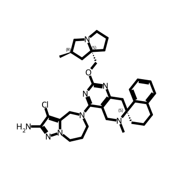 C[C@H]1CN2CCC[C@@]2(COc2nc3c(c(N4CCCn5nc(N)c(Cl)c5C4)n2)CN(C)[C@@]2(CCCc4ccccc42)C3)C1